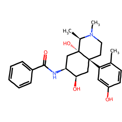 Cc1ccc(O)cc1[C@]12CCN(C)[C@H](C)[C@]1(O)C[C@H](NC(=O)c1ccccc1)[C@H](O)C2